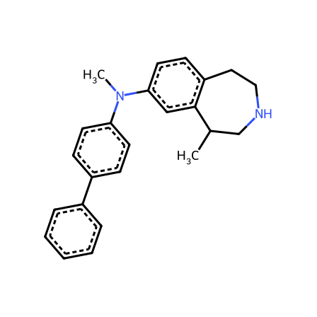 CC1CNCCc2ccc(N(C)c3ccc(-c4ccccc4)cc3)cc21